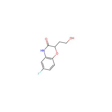 O=C1Nc2cc(F)ccc2OC1CCO